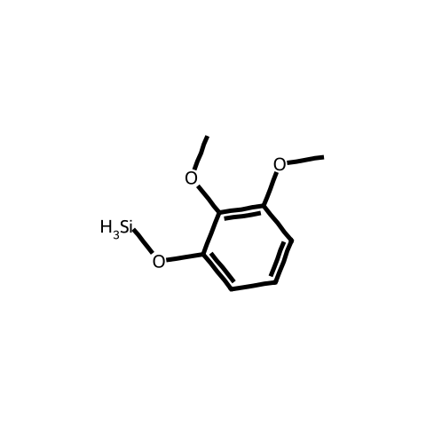 COc1cccc(O[SiH3])c1OC